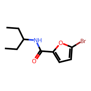 CCC(CC)NC(=O)c1ccc(Br)o1